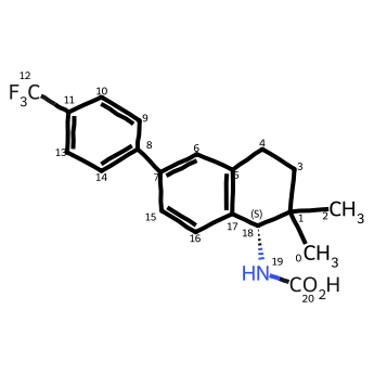 CC1(C)CCc2cc(-c3ccc(C(F)(F)F)cc3)ccc2[C@H]1NC(=O)O